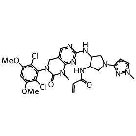 C=CC(=O)NC1CN(c2ccn(C)n2)CC1Nc1ncc2c(n1)N(C)C(=O)N(c1c(Cl)c(OC)cc(OC)c1Cl)C2